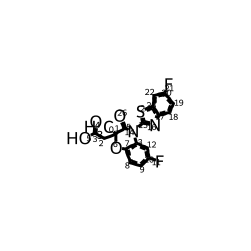 CC1(CC(=O)O)Oc2ccc(F)cc2N(c2nc3ccc(F)cc3s2)C1=O